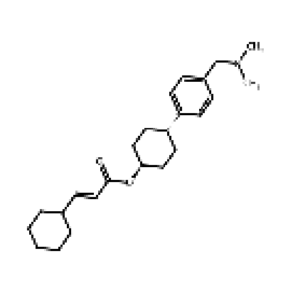 CN(C)Cc1ccc([C@H]2CC[C@H](OC(=O)C=CC3CCCCC3)CC2)cc1